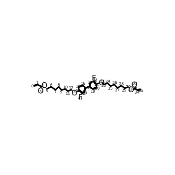 C=CC(=O)OCCCCCCCCOc1ccc(-c2ccc(OCCCCCCCCOC(=O)C=C)c(F)c2)cc1F